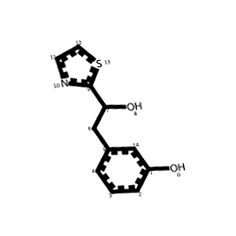 Oc1cccc(CC(O)c2nccs2)c1